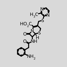 Cc1nccnc1SCC1=C(C(=O)O)N2C(=O)C(NC(=O)Cc3ccccc3N)[C@H]2SC1